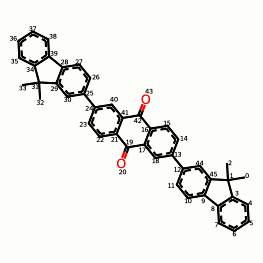 CC1(C)c2ccccc2-c2ccc(-c3ccc4c(c3)C(=O)c3ccc(-c5ccc6c(c5)C(C)(C)c5ccccc5-6)cc3C4=O)cc21